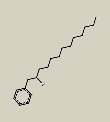 CCCCCCCCCCCC(S)Cc1ccccc1